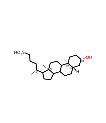 C[C@H](CCCS(=O)(=O)O)C1CCC2C3CC[C@H]4C[C@@H](O)CC[C@]4(C)C3CC[C@@]21C